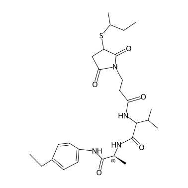 CCc1ccc(NC(=O)[C@H](C)NC(=O)C(NC(=O)CCN2C(=O)CC(SC(C)CC)C2=O)C(C)C)cc1